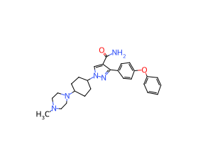 CN1CCN(C2CCC(n3cc(C(N)=O)c(-c4ccc(Oc5ccccc5)cc4)n3)CC2)CC1